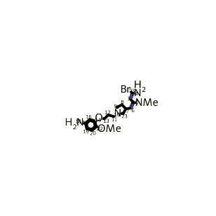 CNC(/C=C(\N)Br)=C/C1CCN(CCCOc2cc(N)ccc2OC)C1